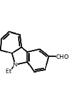 CCN1c2ccc(C=O)cc2C2=CC=CCC21